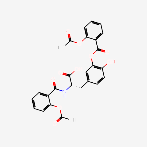 CC(=O)Oc1ccccc1C(=O)N[C@@H](Cc1ccc(O)c(OC(=O)c2ccccc2OC(C)=O)c1)C(=O)O